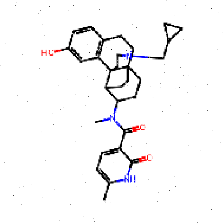 Cc1ccc(C(=O)N(C)C2CCC34CCC2C32CCN(CC3CC3)C4Cc3ccc(O)cc32)c(=O)[nH]1